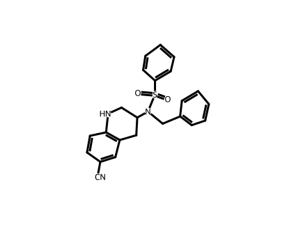 N#Cc1ccc2c(c1)CC(N(Cc1ccccc1)S(=O)(=O)c1ccccc1)CN2